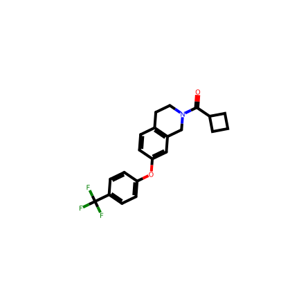 O=C(C1CCC1)N1CCc2ccc(Oc3ccc(C(F)(F)F)cc3)cc2C1